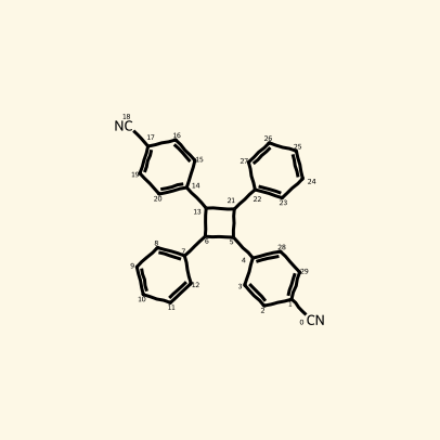 N#Cc1ccc(C2C(c3ccccc3)C(c3ccc(C#N)cc3)C2c2ccccc2)cc1